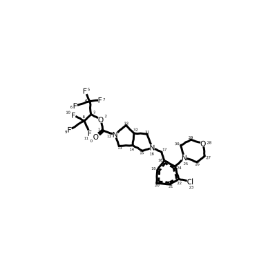 O=C(OC(C(F)(F)F)C(F)(F)F)N1CC2CN(Cc3cccc(Cl)c3N3CCOCC3)CC2C1